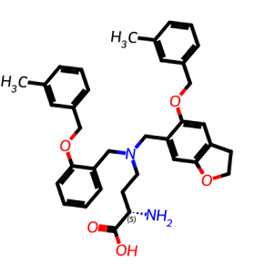 Cc1cccc(COc2ccccc2CN(CC[C@H](N)C(=O)O)Cc2cc3c(cc2OCc2cccc(C)c2)CCO3)c1